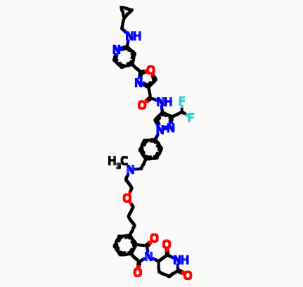 CN(CCOCCCc1cccc2c1C(=O)N(C1CCC(=O)NC1=O)C2=O)Cc1ccc(-n2cc(NC(=O)c3coc(-c4ccnc(NCC5CC5)c4)n3)c(C(F)F)n2)cc1